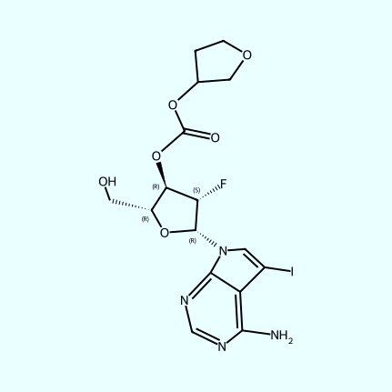 Nc1ncnc2c1c(I)cn2[C@@H]1O[C@H](CO)[C@@H](OC(=O)OC2CCOC2)[C@@H]1F